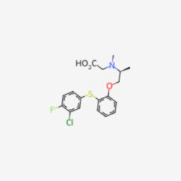 C[C@@H](COc1ccccc1Sc1ccc(F)c(Cl)c1)N(C)CC(=O)O